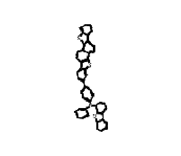 c1ccc(N(c2ccc(-c3ccc4c(c3)sc3c4ccc4c3ccc3c5ccccc5sc34)cc2)c2cccc3c2oc2ccccc23)cc1